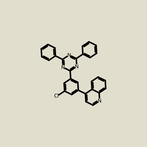 Clc1cc(-c2nc(-c3ccccc3)nc(-c3ccccc3)n2)cc(-c2ccnc3ccccc23)c1